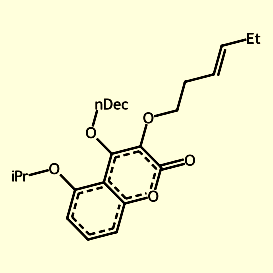 CCC=CCCOc1c(OCCCCCCCCCC)c2c(OC(C)C)cccc2oc1=O